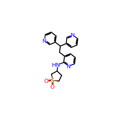 O=S1(=O)CCC(Nc2ncccc2CC(c2cccnc2)c2cccnc2)C1